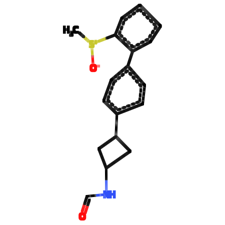 C[S+]([O-])c1ccccc1-c1ccc(C2CC(NC=O)C2)cc1